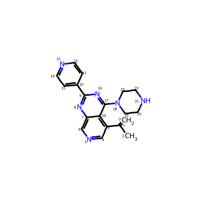 C=C(C)c1cncc2nc(-c3ccncc3)nc(N3CCNCC3)c12